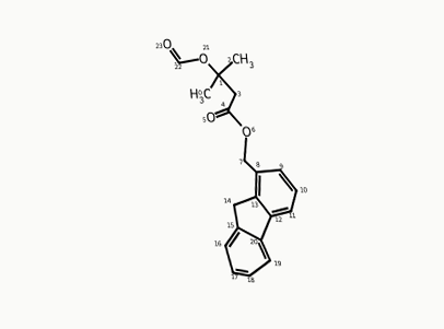 CC(C)(CC(=O)OCc1cccc2c1Cc1ccccc1-2)O[C]=O